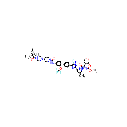 COC(=O)N[C@H](C(=O)N1C[C@@H](C)C[C@H]1c1nc(-c2ccc(-c3ccc(NC(=O)N4CCC(N5CCN(C(=O)C(C)(C)C)CC5)CC4)cc3OC(F)(F)F)cc2)c(F)[nH]1)C1CCOCC1